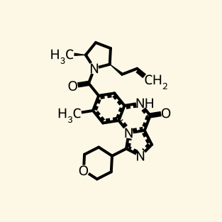 C=CC[C@@H]1CC[C@H](C)N1C(=O)c1cc2[nH]c(=O)c3cnc(C4CCOCC4)n3c2cc1C